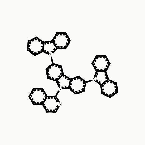 c1ccc2c(-n3c4ccc(-n5c6ccccc6c6ccccc65)cc4c4cc(-n5c6ccccc6c6ccccc65)ccc43)nccc2c1